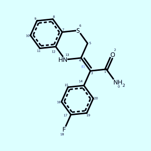 NC(=O)/C(=C1\CSc2ccccc2N1)c1ccc(F)cc1